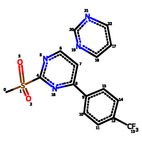 CS(=O)(=O)c1nccc(-c2ccc(C(F)(F)F)cc2)n1.c1cncnc1